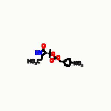 CC(C)(OC(=O)OCc1ccc([N+](=O)[O-])cc1)[C@H]1C(=O)NC1CC(=O)O